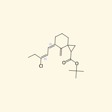 C=C1/C(=C\C=C(\Cl)CC)CCCC12CC2C(=O)OC(C)(C)C